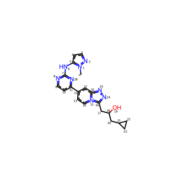 Cn1nccc1Nc1nccc(-c2ccn3c(CC(O)CC4CC4)nnc3c2)n1